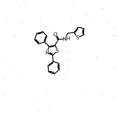 O=C(NCc1cccs1)c1sc(-c2ccccc2)nc1-c1ccccc1